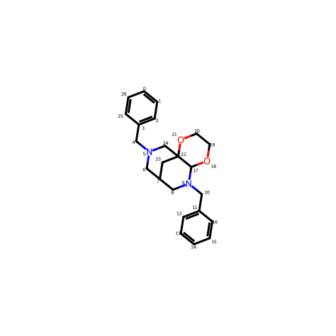 c1ccc(CN2CC3CN(Cc4ccccc4)C4OCCOC4(C3)C2)cc1